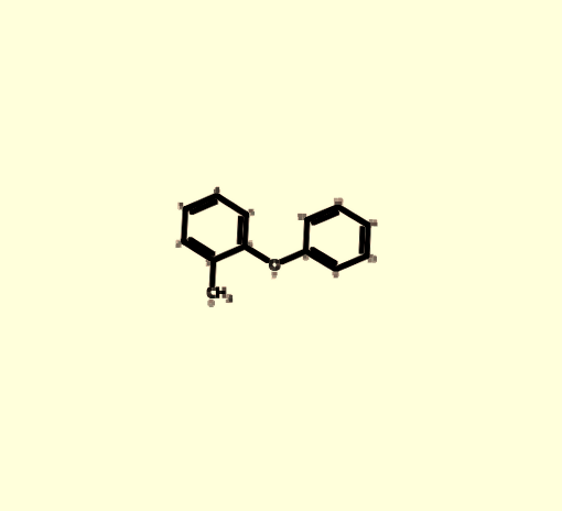 Cc1ccccc1Oc1c[c]ccc1